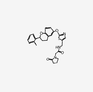 Cc1ccccc1C1CCc2cc(Oc3ncc(CNC(=O)CN4CCCC4=O)s3)ccc2O1